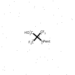 CCCCCC(C(=O)O)(C(F)(F)F)C(F)(F)F